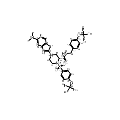 CN(C)c1ncc2sc(N3CCN(S(=O)(=O)c4ccc(OC(F)(F)F)cc4)[C@@H](C(=O)NCc4ccc(OC(F)(F)F)cc4)C3)nc2n1